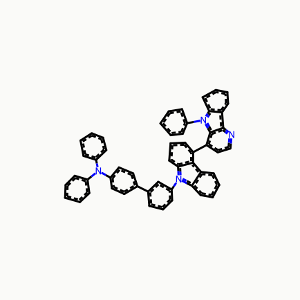 c1ccc(N(c2ccccc2)c2ccc(-c3cccc(-n4c5ccccc5c5c(-c6ccnc7c8ccccc8n(-c8ccccc8)c67)cccc54)c3)cc2)cc1